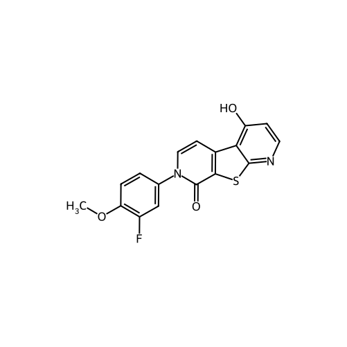 COc1ccc(-n2ccc3c(sc4nccc(O)c43)c2=O)cc1F